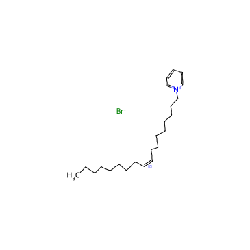 CCCCCCCC/C=C\CCCCCCCC[n+]1ccccc1.[Br-]